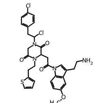 COc1ccc2c(c1)c(CCN)cn2C(=O)CC1C(=O)N(C(Cl)Cc2ccc(Cl)cc2)CC(=O)N1CCc1cccs1